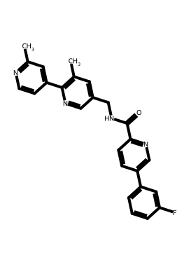 Cc1cc(-c2ncc(CNC(=O)c3ccc(-c4cccc(F)c4)cn3)cc2C)ccn1